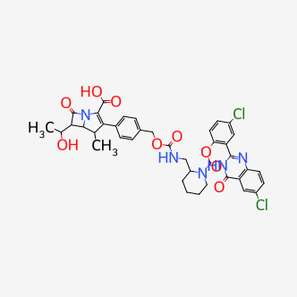 CC(O)C1C(=O)N2C(C(=O)O)=C(c3ccc(COC(=O)NCC4CCCCN4C(=O)Oc4ccc(Cl)cc4-c4nc5ccc(Cl)cc5c(=O)[nH]4)cc3)C(C)C12